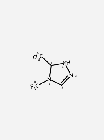 FC(F)(F)N1C=NNC1C(Cl)(Cl)Cl